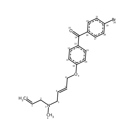 C=CCN(C)CC=CCOc1ccc(C(=O)c2ccc(Br)cc2)cc1